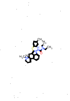 CCN(CC)C(=O)Nn1c(Sc2ccc(C)cc2)c2c3c(cccc31)C1=CCCN(C)[C@@H]1C2